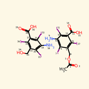 CC(=O)OCc1c(I)c(N)c(I)c(C(=O)O)c1I.Nc1c(I)c(CO)c(I)c(C(=O)O)c1I